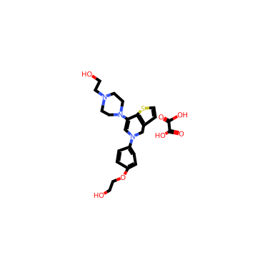 O=C(O)C(=O)O.OCCOc1ccc(N2C=C(N3CCN(CCO)CC3)c3sccc3C2)cc1